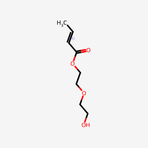 C/C=C/C(=O)OCCOCCO